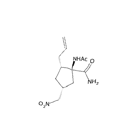 C=CC[C@H]1C[C@@H](C[N+](=O)[O-])C[C@@]1(NC(C)=O)C(N)=O